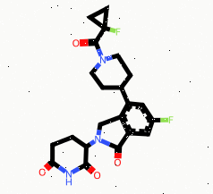 O=C1CCC(N2Cc3c(cc(F)cc3C3CCN(C(=O)C4(F)CC4)CC3)C2=O)C(=O)N1